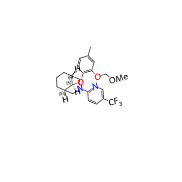 COCOc1cc(C)ccc1O[C@@H]1[C@@H]2CCC[C@H]1CN(c1ccc(C(F)(F)F)cn1)C2